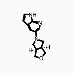 c1cc2cc(N3C[C@H]4COC[C@H]4C3)cnc2[nH]1